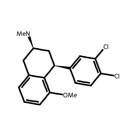 CN[C@@H]1Cc2cccc(OC)c2[C@H](c2ccc(Cl)c(Cl)c2)C1